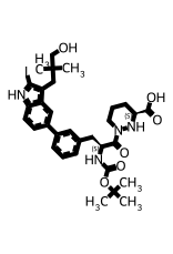 CC(C)(CO)Cc1c(I)[nH]c2ccc(-c3cccc(C[C@H](NC(=O)OC(C)(C)C)C(=O)N4CCC[C@@H](C(=O)O)N4)c3)cc12